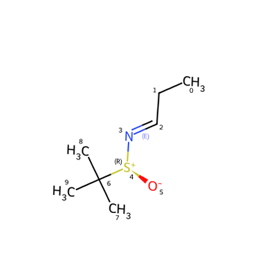 CC/C=N/[S@@+]([O-])C(C)(C)C